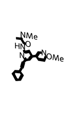 CNC(C)C(=O)Nc1cc(-c2ccc(OC)nc2)cc(C#Cc2ccccc2)n1